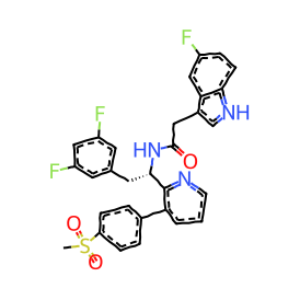 CS(=O)(=O)c1ccc(-c2cccnc2[C@H](Cc2cc(F)cc(F)c2)NC(=O)Cc2c[nH]c3ccc(F)cc23)cc1